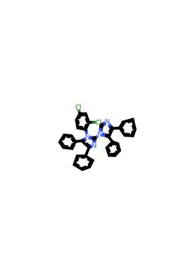 Clc1ccc(-n2c(-n3cnc(-c4ccccc4)c3-c3ccccc3)nc(-c3ccccc3)c2-c2ccccc2)c(Cl)c1